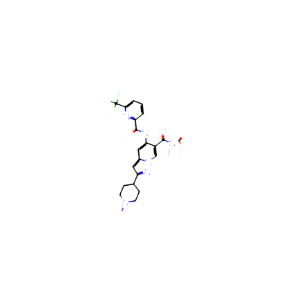 CN1CCC(c2cc3cc(NC(=O)c4cccc(C(F)(F)F)n4)c(C(N)=O)cn3n2)CC1.O=CO